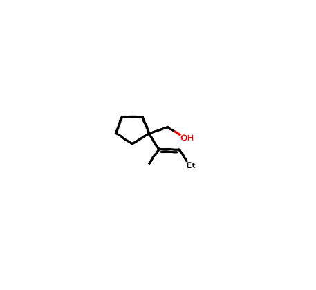 CCC=C(C)C1(CO)CCCC1